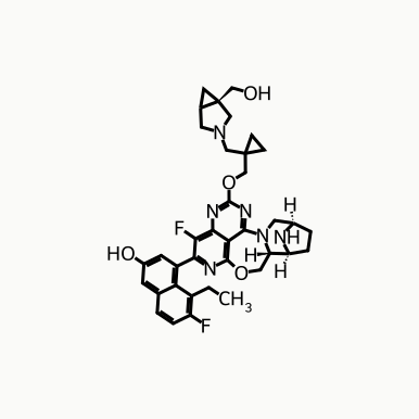 CCc1c(F)ccc2cc(O)cc(-c3nc4c5c(nc(OCC6(CN7CC8C[C@]8(CO)C7)CC6)nc5c3F)N3C[C@H]5CC[C@H](N5)[C@@H]3CO4)c12